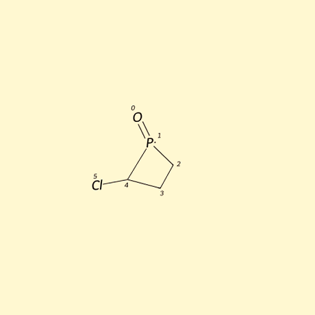 O=[P]1CCC1Cl